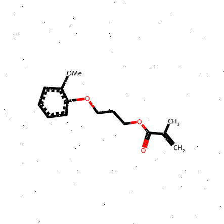 C=C(C)C(=O)OCCCOc1ccccc1OC